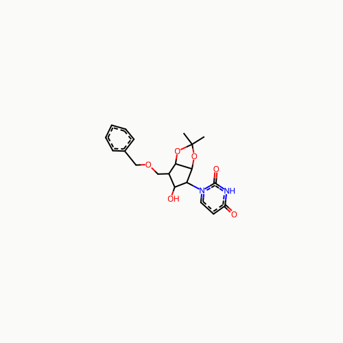 CC1(C)OC2C(COCc3ccccc3)C(O)C(n3ccc(=O)[nH]c3=O)C2O1